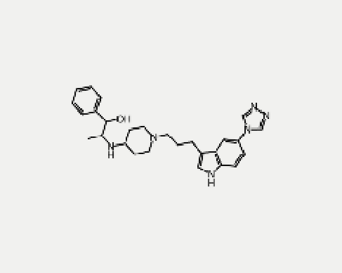 CC(NC1CCN(CCCc2c[nH]c3ccc(-n4cnnc4)cc23)CC1)C(O)c1ccccc1